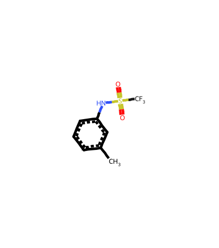 Cc1[c]ccc(NS(=O)(=O)C(F)(F)F)c1